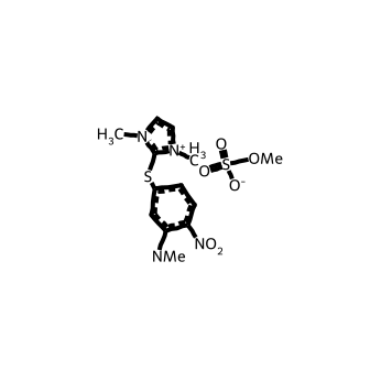 CNc1cc(Sc2n(C)cc[n+]2C)ccc1[N+](=O)[O-].COS(=O)(=O)[O-]